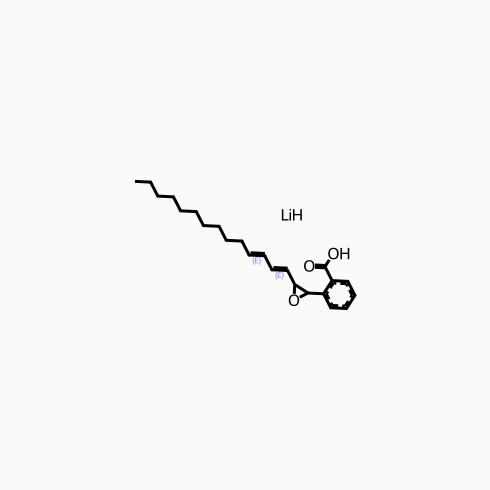 CCCCCCCCCC/C=C/C=C/C1OC1c1ccccc1C(=O)O.[LiH]